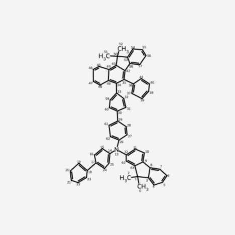 CC1(C)c2ccccc2-c2ccc(N(c3ccc(-c4ccccc4)cc3)c3ccc(-c4ccc(-c5c(-c6ccccc6)c6c(c7ccccc57)C(C)(C)c5ccccc5-6)cc4)cc3)cc21